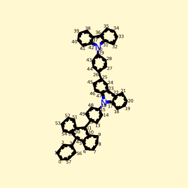 c1ccc(-c2c3ccccc3c(-c3ccc(-n4c5ccccc5c5cc(-c6ccc(-n7c8ccccc8c8ccccc87)cc6)ccc54)cc3)c3ccccc23)cc1